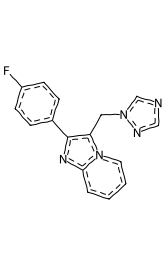 Fc1ccc(-c2nc3ccccn3c2Cn2cncn2)cc1